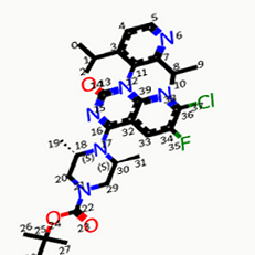 CC(C)c1ccnc(C(C)C)c1-n1c(=O)nc(N2[C@@H](C)CN(C(=O)OC(C)(C)C)C[C@@H]2C)c2cc(F)c(Cl)nc21